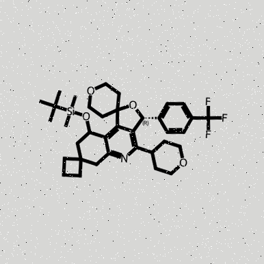 CC(C)(C)[Si](C)(C)OC1CC2(CCC2)Cc2nc(C3CCOCC3)c3c(c21)C1(CCOCC1)O[C@@H]3c1ccc(C(F)(F)F)cc1